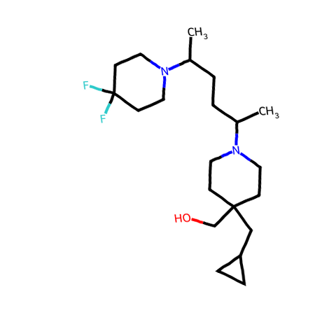 CC(CCC(C)N1CCC(CO)(CC2CC2)CC1)N1CCC(F)(F)CC1